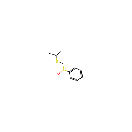 CC(C)SC[S+]([O-])c1ccccc1